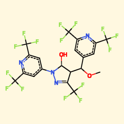 COC(c1cc(C(F)(F)F)nc(C(F)(F)F)c1)C1C(C(F)(F)F)=NN(c2cc(C(F)(F)F)nc(C(F)(F)F)c2)C1O